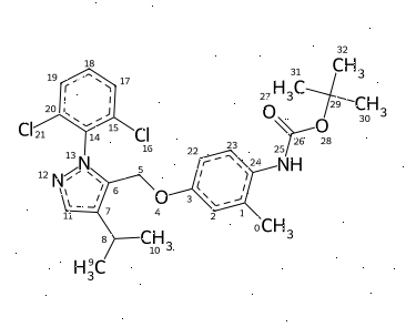 Cc1cc(OCc2c(C(C)C)cnn2-c2c(Cl)cccc2Cl)ccc1NC(=O)OC(C)(C)C